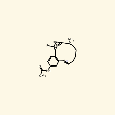 COC(=O)Nc1ccc2c(c1)/N=C/CCCC[C@H](N)c1nc-2c(F)[nH]1